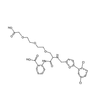 O=C(O)COCCOCCOCC(NCc1ccc(-c2cc(Cl)ccc2Cl)o1)C(=O)Nc1ccccc1C(=O)O